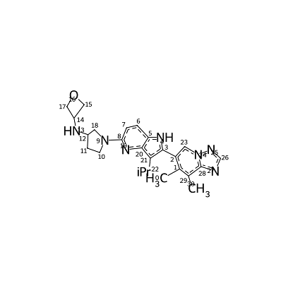 Cc1c(-c2[nH]c3ccc(N4CCC(NC5COC5)C4)nc3c2C(C)C)cn2ncnc2c1C